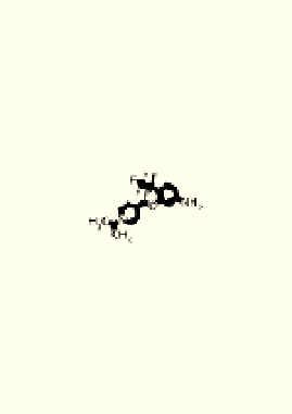 CC(C)N1CCC(COc2cc(N)ccc2C(F)(F)C(F)(F)F)CC1